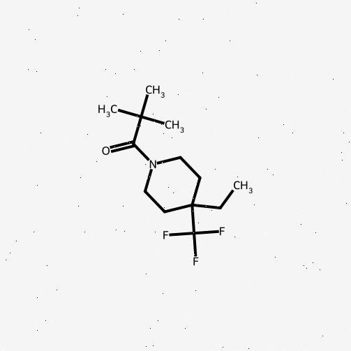 CCC1(C(F)(F)F)CCN(C(=O)C(C)(C)C)CC1